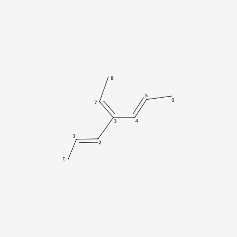 CC=CC(C=CC)=CC